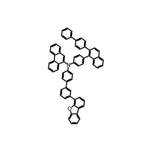 c1ccc(-c2ccc(-c3ccc4ccccc4c3-c3ccc(N(c4ccc(-c5cccc(-c6cccc7c6oc6ccccc67)c5)cc4)c4cc5ccccc5c5ccccc45)cc3)cc2)cc1